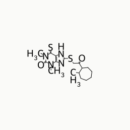 CC1CCCCCC1C(=O)CSc1nc2c([nH]1)c(=S)n(C)c(=O)n2C